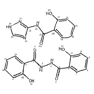 O=C(NNC(=O)c1ccccc1O)c1ccccc1O.O=C(Nc1nc[nH]n1)c1ccccc1O